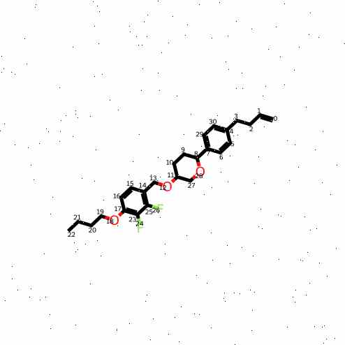 C=CCCc1ccc(C2CCC(OCc3ccc(OCCCC)c(F)c3F)CO2)cc1